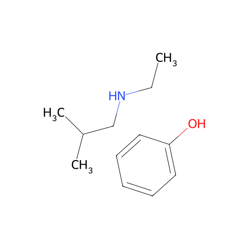 CCNCC(C)C.Oc1ccccc1